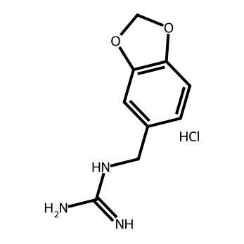 Cl.N=C(N)NCc1ccc2c(c1)OCO2